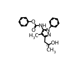 Cc1c(C[C@H](C)O)nn(-c2ccccc2)c1NC(=O)Oc1ccccc1